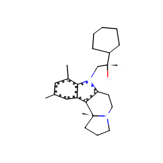 Cc1cc(C)c2c(c1)c1c(n2C[C@@](C)(O)C2CCCCC2)CCN2CCC[C@H]12